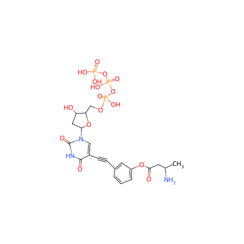 CC(N)CC(=O)Oc1cccc(C#Cc2cn(C3CC(O)C(COP(=O)(O)OP(=O)(O)OP(=O)(O)O)O3)c(=O)[nH]c2=O)c1